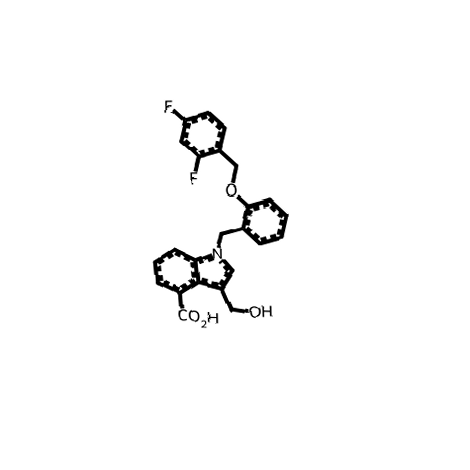 O=C(O)c1cccc2c1c(CO)cn2Cc1ccccc1OCc1ccc(F)cc1F